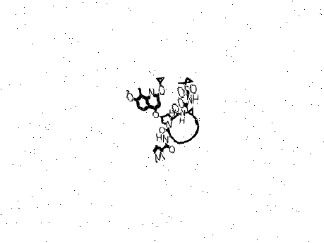 COc1ccc2c(O[C@@H]3C[C@H]4C(=O)N[C@]5(C(=O)NS(=O)(=O)C6(C)CC6)CC5/C=C\CCCCC[C@H](NC(=O)c5ccn(C)n5)C(=O)N4C3)cc(OC3CC3)nc2c1C